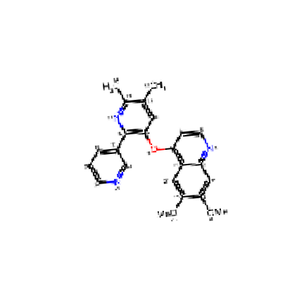 COc1cc2nccc(Oc3cc(C)c(C)nc3-c3cccnc3)c2cc1OC